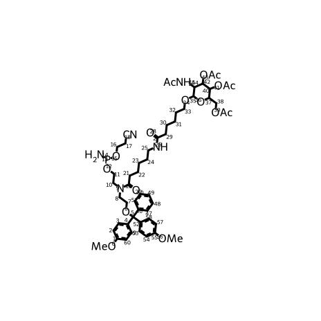 COc1ccc(C(OCCN(CCOP(N)OCCC#N)C(=O)CCCCCNC(=O)CCCCCOC2OC(COC(C)=O)C(OC(C)=O)C(OC(C)=O)C2NC(C)=O)(c2ccccc2)c2ccc(OC)cc2)cc1